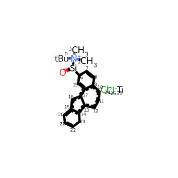 CC(C)(C)[N+](C)(C)[Si](=O)C1C=Cc2cccc3c4c(cc-3c2=C1)=CC=CC4.[Cl-].[Cl-].[Ti]